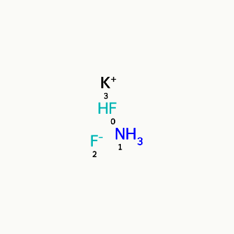 F.N.[F-].[K+]